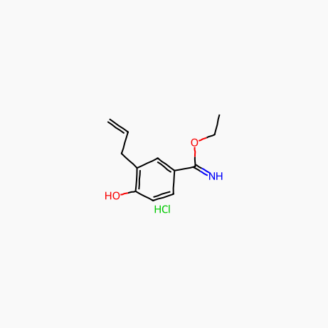 C=CCc1cc(C(=N)OCC)ccc1O.Cl